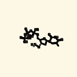 Cc1cn([C@H]2C[C@H](ON)[C@@H](COP(=O)(O)OP(=O)(O)OP(=O)(O)O)O2)c(=O)[nH]c1=O